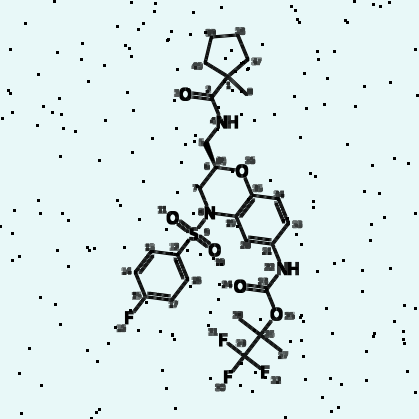 CC1(C(=O)NC[C@@H]2CN(S(=O)(=O)c3ccc(F)cc3)c3cc(NC(=O)OC(C)(C)C(F)(F)F)ccc3O2)CCCC1